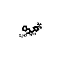 CS(=O)(=O)c1ccc(-c2[nH]nc(CO[N+](=O)[O-])c2CC2CCCCC2)cc1